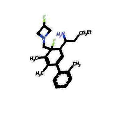 CCOC(=O)CC(N)C1C=C(c2ccccc2C)C(C)=C(C)C1(F)CN1CC(F)C1